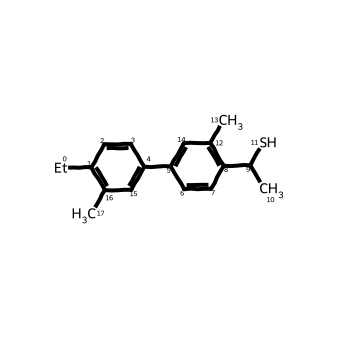 CCc1ccc(-c2ccc(C(C)S)c(C)c2)cc1C